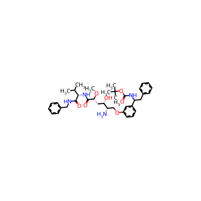 CO[C@H](C[C@H](O)[C@@H](N)COc1cccc(C(Cc2ccccc2)NC(=O)OC(C)(C)C)c1)C(=O)N[C@H](C(=O)NCc1ccccc1)C(C)C